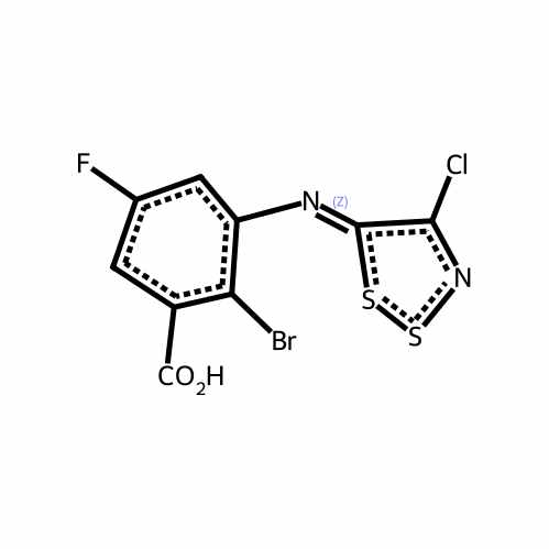 O=C(O)c1cc(F)cc(/N=c2\ssnc2Cl)c1Br